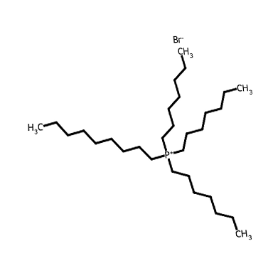 CCCCCCCCC[P+](CCCCCCC)(CCCCCCC)CCCCCCC.[Br-]